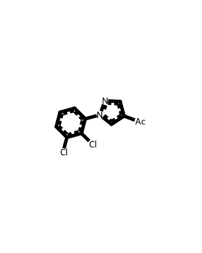 CC(=O)c1cnn(-c2cccc(Cl)c2Cl)c1